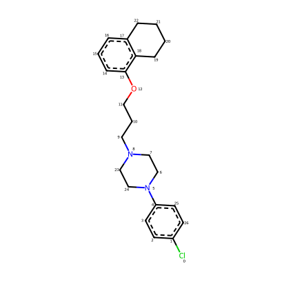 Clc1ccc(N2CCN(CCCOc3cccc4c3CCCC4)CC2)cc1